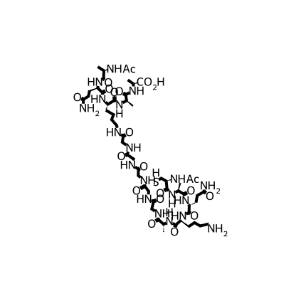 CC(=O)N[C@@H](C)C(=O)N[C@H](CCC(N)=O)C(=O)N[C@@H](CCCCNC(=O)CNC(=O)CNC(=O)CNC(=O)CNC(=O)CNC(=O)[C@@H](C)NC(=O)[C@H](CCCCN)NC(=O)[C@@H](CCC(N)=O)NC(=O)[C@H](C)NC(=O)[C@H](CS)NC(C)=O)C(=O)N[C@H](C)C(=O)N[C@H](C)C(=O)O